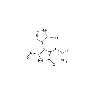 C=Nc1[nH]c(=O)n(OC(C)N)c1C1C=CNC1N